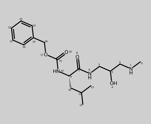 CNCC(O)CNC(=O)[C@H](CC(C)C)NC(=O)OCc1ccccc1